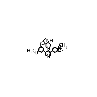 COc1cc(F)cc(-c2cncc(-c3ccc4c(cnn4C)c3)c2N2CCC3NCCOC3C2)c1